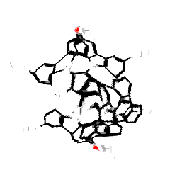 Cc1ccc2c(c1)c1cc(C)ccc1n2-c1c(C#N)c(-n2c3ccc(C)cc3c3cc(C)ccc32)c(-n2c3ccc(C)cc3c3cc(C)ccc32)c(-c2cccc3c2[Si]2(c4ccccc4-3)c3cccnc3-c3ncccc32)c1-n1c2ccc(C)cc2c2cc(C)ccc21